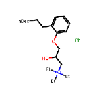 CCCCCCCCCCCCc1ccccc1OCC(O)C[N+](CC)(CC)CC.[Cl-]